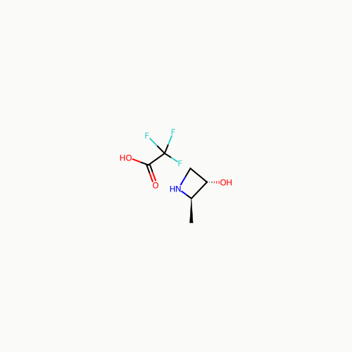 C[C@H]1NC[C@@H]1O.O=C(O)C(F)(F)F